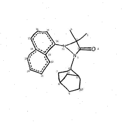 CC1(C)C(=O)N(C2CC3CCC2C3)N1c1cccc2ccccc12